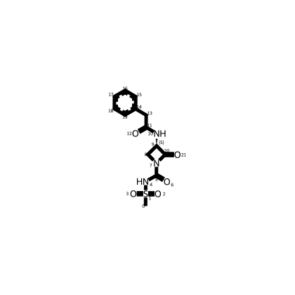 CS(=O)(=O)NC(=O)N1C[C@H](NC(=O)Cc2ccccc2)C1=O